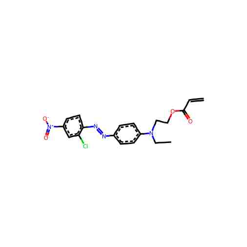 C=CC(=O)OCCN(CC)c1ccc(N=Nc2ccc([N+](=O)[O-])cc2Cl)cc1